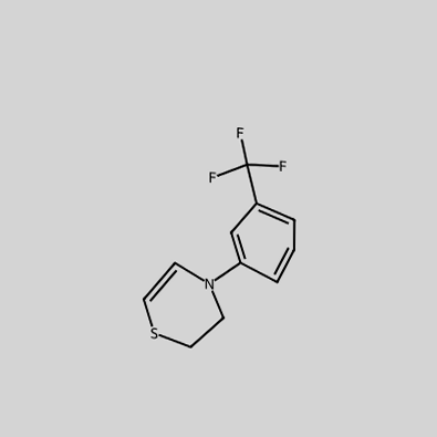 FC(F)(F)c1cccc(N2C=CSCC2)c1